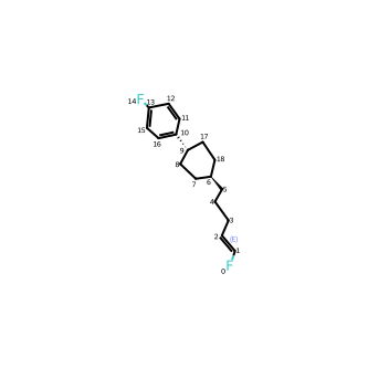 F/C=C/CCC[C@H]1CC[C@H](c2ccc(F)cc2)CC1